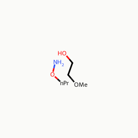 CCCON.COCCO